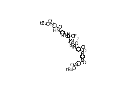 Cn1c(-c2cn(-c3ccc(NC(=O)C4CCN(C(=O)OC(C)(C)C)CC4)cn3)nc2C(F)(F)F)cnc1C(=O)Nc1ccc(C(=O)N2CCN(C(=O)C3CCN(C(=O)OC(C)(C)C)CC3)CC2)c(Cl)c1